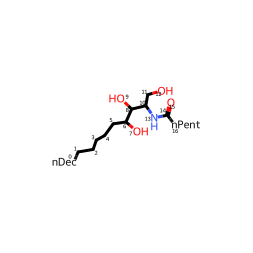 CCCCCCCCCCCCCCCC(O)C(O)C(CO)NC(=O)CCCCC